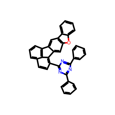 c1ccc(-c2nc(-c3ccccc3)nc(-c3ccc4cccc5c4c3-c3cc4oc6ccccc6c4cc3-5)n2)cc1